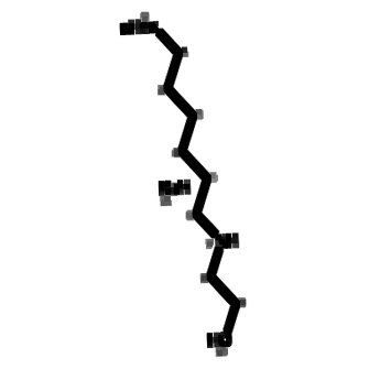 CCCCCCCCCCCCNCCO.[NaH]